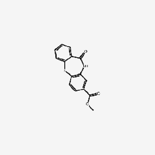 COC(=O)c1ccc2c(c1)NC(=O)c1ccccc1S2